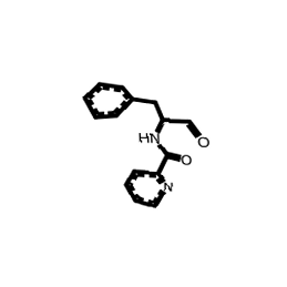 O=CC(Cc1ccccc1)NC(=O)c1ccccn1